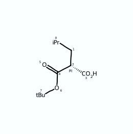 CC(C)C[C@H](C(=O)O)C(=O)OC(C)(C)C